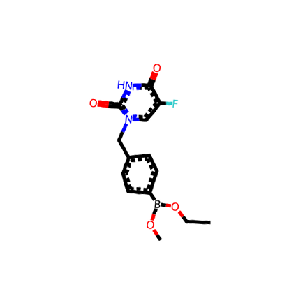 CCOB(OC)c1ccc(Cn2cc(F)c(=O)[nH]c2=O)cc1